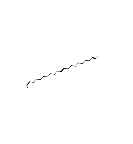 CCCCC/C=C\CCCCCCCC/C=C/CC[CH]CCCC/C=C/CCCCC